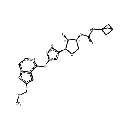 O=C(NC12CC(C1)C2)O[C@H]1CO[C@@H](c2cc(Nc3nccn4nc(COC(F)(F)F)cc34)n[nH]2)[C@H]1F